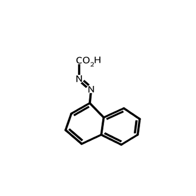 O=C(O)/N=N/c1cccc2ccccc12